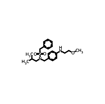 COCCNc1ccc(CN(CC(C)C)S(=O)(=O)Cc2ccccc2)cc1